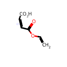 C=COC(=O)/C=C\C(=O)O